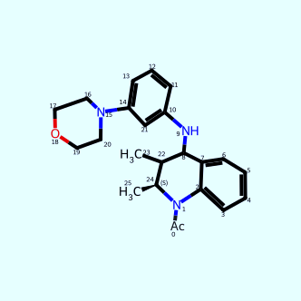 CC(=O)N1c2ccccc2C(Nc2cccc(N3CCOCC3)c2)C(C)[C@@H]1C